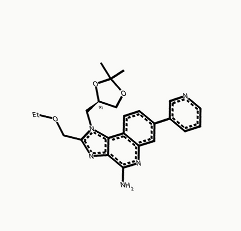 CCOCc1nc2c(N)nc3cc(-c4cccnc4)ccc3c2n1C[C@@H]1COC(C)(C)O1